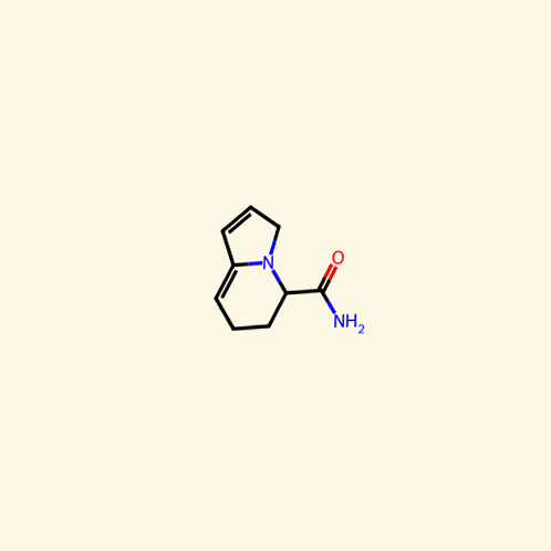 NC(=O)C1CCC=C2C=CCN21